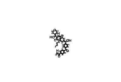 CCCCN1C(=O)[C@@H]([C@H](O)C2CCOCC2)NC(=O)C12CCN(Cc1ccc(C(=O)c3ccc(C(=O)NC)cc3)cc1)CC2.Cl